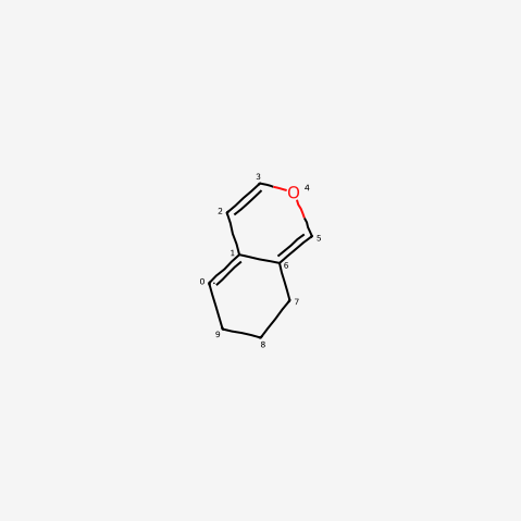 [C]1=C2C=COC=C2CCC1